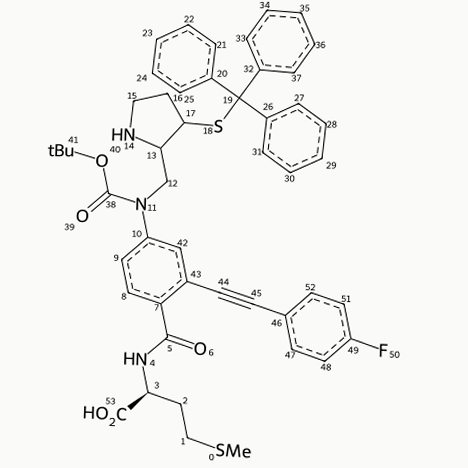 CSCC[C@H](NC(=O)c1ccc(N(CC2NCCC2SC(c2ccccc2)(c2ccccc2)c2ccccc2)C(=O)OC(C)(C)C)cc1C#Cc1ccc(F)cc1)C(=O)O